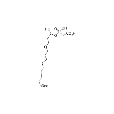 CCCCCCCCCCCCCCCCCCOCCC(O)OP(=O)(O)CC(=O)O